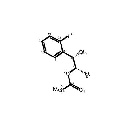 CC[C@H](OC(=O)NC)[C@@H](O)c1ccccc1I